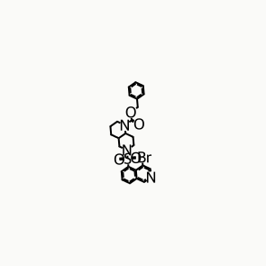 O=C(OCc1ccccc1)N1CCCC2CN(S(=O)(=O)c3cccc4cncc(Br)c34)CCC21